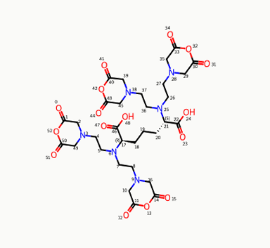 O=C1CN(CCN(CCN2CC(=O)OC(=O)C2)[C@H](CCC[C@@H](C(=O)O)N(CCN2CC(=O)OC(=O)C2)CCN2CC(=O)OC(=O)C2)C(=O)O)CC(=O)O1